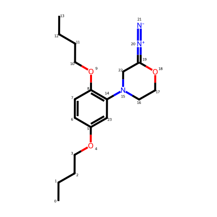 CCCCOc1ccc(OCCCC)c(N2CCOC(=[N+]=[N-])C2)c1